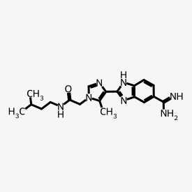 Cc1c(-c2nc3cc(C(=N)N)ccc3[nH]2)ncn1CC(=O)NCCC(C)C